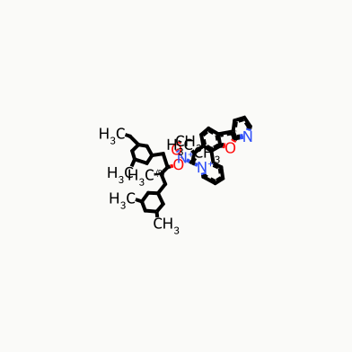 CCC1CC(C)CC(CC(O[N+]2(OC)C3(C)c4ccc5c(oc6ncccc65)c4-c4cccc[n+]4C32C)[C@H](C)CC2CC(C)CC(C)C2)C1